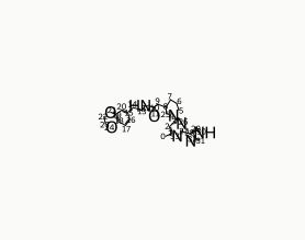 Cc1cc(N2CCCC(CC(=O)NCCc3ccc4c(c3)OCCO4)C2)nc(-c2c[nH]cn2)n1